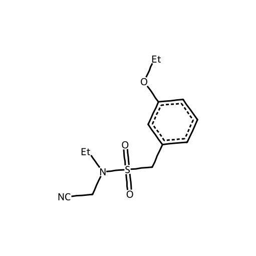 CCOc1cccc(CS(=O)(=O)N(CC)CC#N)c1